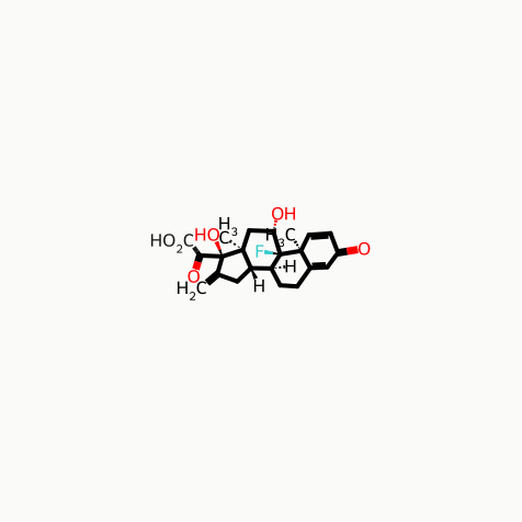 C=C1C[C@H]2[C@@H]3CCC4=CC(=O)C=C[C@]4(C)[C@@]3(F)[C@@H](O)C[C@]2(C)[C@@]1(O)C(=O)C(=O)O